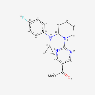 COC(=O)c1cnc(N2CCCCC2N(c2ccc(F)cc2)C2CC2)nc1